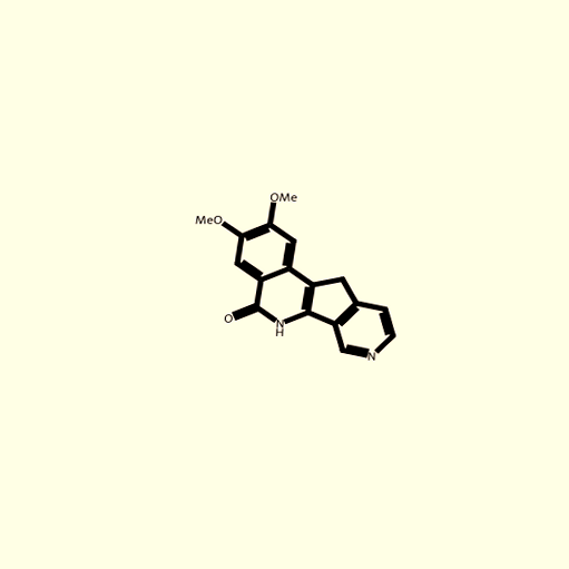 COc1cc2c3c([nH]c(=O)c2cc1OC)-c1cnccc1C3